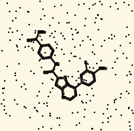 COC(=O)c1ccc(NC(=O)c2cc3nccc(-c4ccc(OC)c(F)c4)n3n2)cc1